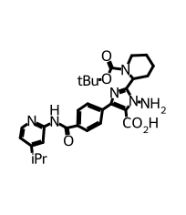 CC(C)c1ccnc(NC(=O)c2ccc(-c3nc(C4CCCCN4C(=O)OC(C)(C)C)n(N)c3C(=O)O)cc2)c1